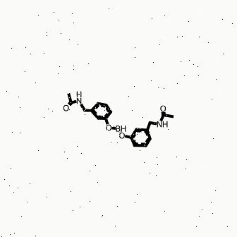 CC(=O)NCc1cccc(OBOc2cccc(CNC(C)=O)c2)c1